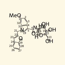 COc1ccc2c(C3=N[C@H]4[C@@H](O3)O[C@H](CO)[C@@H](O)[C@@H]4O)cn(Cc3cc4ccccc4o3)c2c1